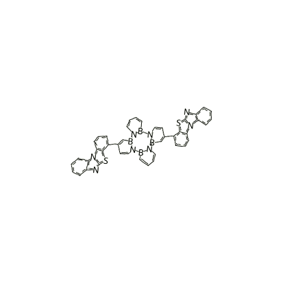 C1=CB2N(C=C1)B1C=C(c3cccc4c3sc3nc5ccccc5n34)C=CN1B1C=CC=CN1B1C=C(c3cccc4c3sc3nc5ccccc5n34)C=CN21